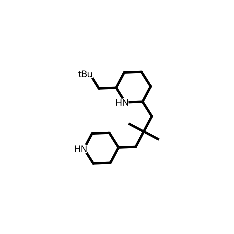 CC(C)(C)CC1CCCC(CC(C)(C)CC2CCNCC2)N1